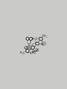 Cc1cc(C)c(-c2cc3c(cc2C(C)(C)C)-c2cc(C(C)(C)C)c(-c4c(C)cc(C)cc4C)[c]([Zr+2]([C]4=CC=CC4)=[C](Cc4ccccc4)Cc4ccccc4)c2C3)c(C)c1.[Cl-].[Cl-]